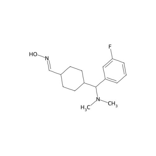 CN(C)C(c1cccc(F)c1)C1CCC(C=NO)CC1